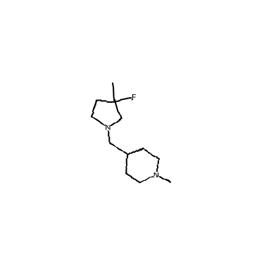 CN1CCC(CN2CCC(C)(F)C2)CC1